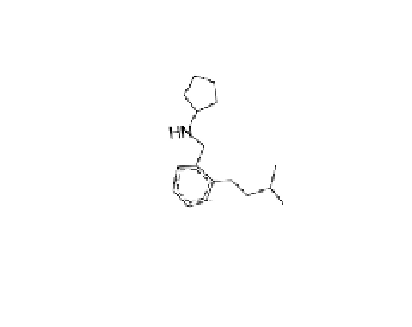 CC(C)CCc1[c]cccc1CNC1CCCC1